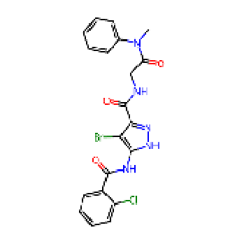 CN(C(=O)CNC(=O)c1n[nH]c(NC(=O)c2ccccc2Cl)c1Br)c1ccccc1